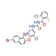 O=C(NC(=O)c1c(F)cccc1Cl)Nc1cnc(Oc2ccc3cc(Br)ccc3c2Br)c(Cl)c1